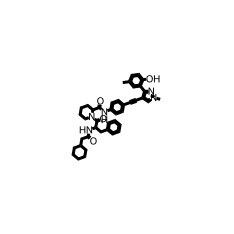 Cc1ccc(O)c(-c2nn(C)cc2C#Cc2ccc(NC(=O)C3CCCCN3C(=O)C(Cc3ccccc3)NC(=O)CC3CCCCC3)cc2)c1